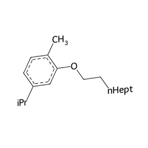 CCCCCCCCCOc1cc(C(C)C)ccc1C